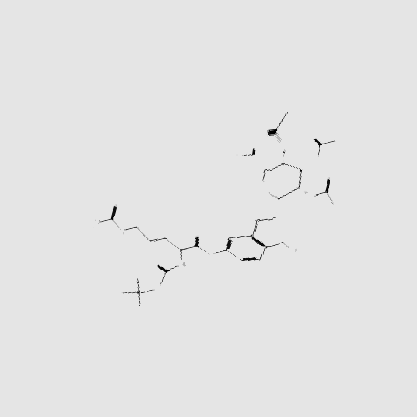 CC(=O)O[C@@H]1[C@@H](OC(C)=O)[C@H](CCc2cc(NC(=O)C(CCCNC(N)=O)NC(=O)OC(C)(C)C)ccc2CO)O[C@H](C(=O)O)[C@H]1OC(C)=O